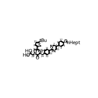 CCCCCCCOc1ccc(-c2cnc(-c3ccc(C[C@H](NC(=O)c4ccc(C(C)(C)C)s4)C(=O)NCC(O)O)cc3)nc2)cc1